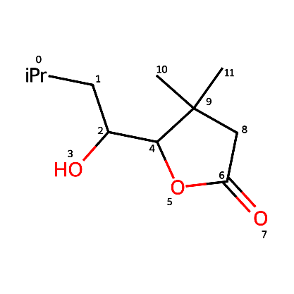 CC(C)CC(O)C1OC(=O)CC1(C)C